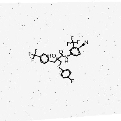 N#Cc1ccc(NC(=O)[C@@](O)(CSc2ccc(F)cc2)Cc2ccc(C(F)(F)F)cc2)cc1C(F)(F)F